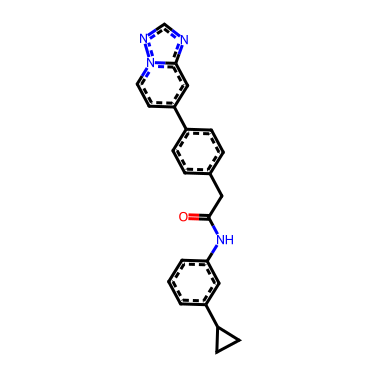 O=C(Cc1ccc(-c2ccn3ncnc3c2)cc1)Nc1cccc(C2CC2)c1